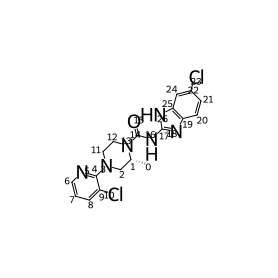 C[C@@H]1CN(c2ncccc2Cl)CCN1C(=O)Nc1nc2ccc(Cl)cc2[nH]1